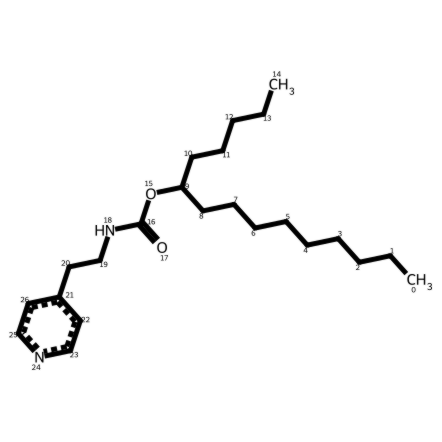 CCCCCCCCCC(CCCCC)OC(=O)NCCc1ccncc1